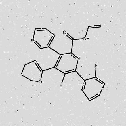 C=CNC(=O)c1nc(-c2ccccc2F)c(F)c(C2=CCCCO2)c1-c1cccnc1